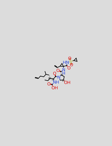 C=CCCC(C)C[C@@H](CC)[C@H](NC(=O)O)C(=O)N1C[C@H](O)C[C@H]1C(=O)NC1(C(=O)NS(=O)(=O)C2CC2)CC1C=C